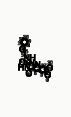 COc1cc2cc3c(=O)[nH]c(C(=O)NCCOc4ccccc4)nc3nc2cc1OC